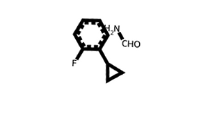 Fc1ccccc1C1CC1.NC=O